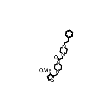 COc1ccsc1CN1CCN(C(=O)CN2CCN(CCc3ccccc3)CC2)CC1